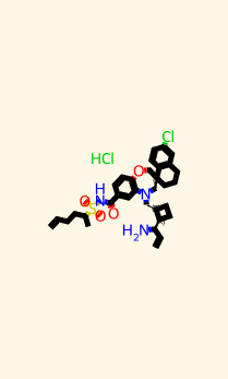 C=CCCC(C)S(=O)(=O)NC(=O)c1ccc2c(c1)N(C[C@@H]1CC[C@H]1C(N)C=C)C[C@@]1(CCCc3cc(Cl)ccc31)CO2.Cl